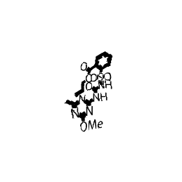 C=CCOC(=O)c1ccccc1S(=O)(=O)NC(=O)Nc1nc(C)nc(OC)n1